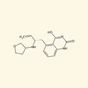 C=C[C@H](Cc1cccc2[nH]c(=O)nc(O)c12)NC1CCOC1